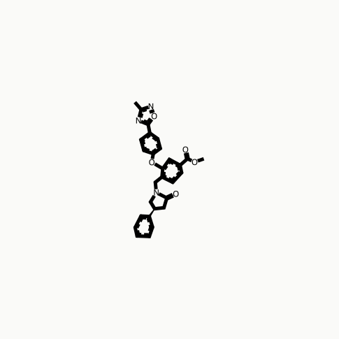 COC(=O)c1ccc(CN2C[C@H](c3ccccc3)CC2=O)c(Oc2ccc(-c3nc(C)no3)cc2)c1